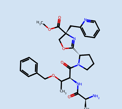 COC(=O)[C@@]1(Cc2ccccn2)COC([C@@H]2CCCN2C(=O)[C@@H](NC(=O)[C@H](C)N)C(C)OCc2ccccc2)=N1